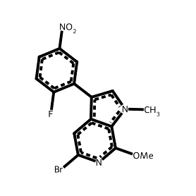 COc1nc(Br)cc2c(-c3cc([N+](=O)[O-])ccc3F)cn(C)c12